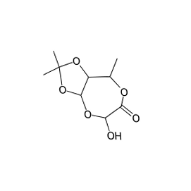 CC1OC(=O)C(O)OC2OC(C)(C)OC12